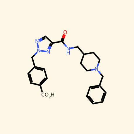 O=C(O)c1ccc(Cn2ncc(C(=O)NCC3CCN(Cc4ccccc4)CC3)n2)cc1